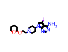 Nc1ncnc2c1c(I)cn2C1CCN(CCOC2CCCCO2)CC1